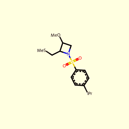 COC1CN(S(=O)(=O)c2ccc(C(C)C)cc2)C1CSC